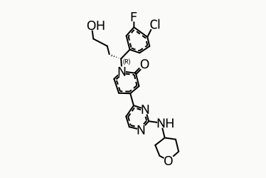 O=c1cc(-c2ccnc(NC3CCOCC3)n2)ccn1[C@H](CCCO)c1ccc(Cl)c(F)c1